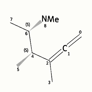 C=C=C(C)[C@H](C)[C@H](C)NC